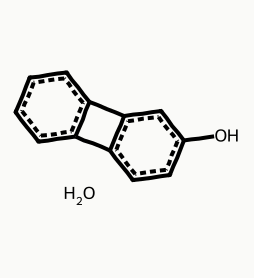 O.Oc1ccc2c(c1)-c1ccccc1-2